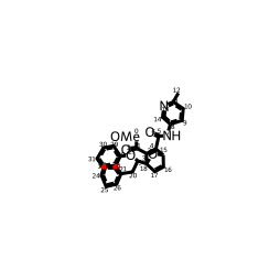 COC(=O)C1=C(C(=O)Nc2ccc(C)nc2)C2C=CC1(C(Cc1ccccc1)Oc1ccccc1)O2